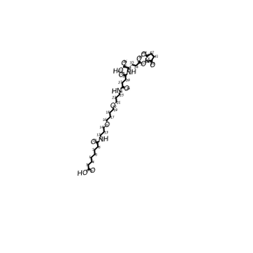 O=C(O)CCCCCCC(=O)NCCCOCCCCOCCCNC(=O)CCC(=O)N[C@@H](CCC(=O)ON1C(=O)CCC1=O)C(=O)O